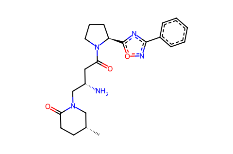 C[C@@H]1CCC(=O)N(C[C@@H](N)CC(=O)N2CCC[C@H]2c2nc(-c3ccccc3)no2)C1